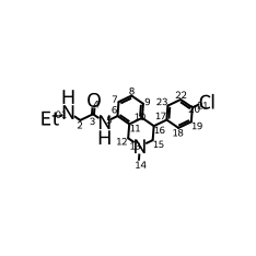 CCNCC(=O)Nc1cccc2c1CN(C)CC2c1ccc(Cl)cc1